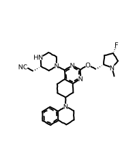 CN1C[C@@H](F)C[C@H]1COc1nc2c(c(N3CCN[C@@H](CC#N)C3)n1)CCC(N1CCCc3ccccc31)C2